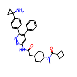 CN(C(=O)C1CCC1)[C@H]1CC[C@H](CC(=O)Nc2cc(-c3ccccc3)c(-c3ccc(C4(N)CC4)cc3)nn2)CC1